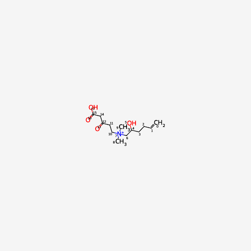 C=CCCC(O)C[N+](C)(C)CCC(=O)CC(=O)O